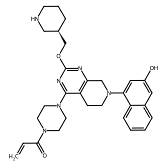 C=CC(=O)N1CCN(c2nc(OC[C@@H]3CCCNC3)nc3c2CCN(c2cc(O)cc4ccccc24)C3)CC1